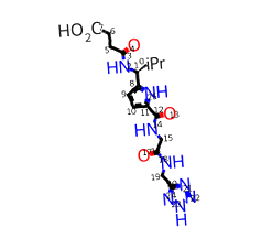 CC(C)[C@H](NC(=O)CCC(=O)O)c1ccc(C(=O)NCC(=O)NCc2nn[nH]n2)[nH]1